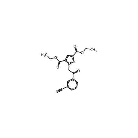 CCOC(=O)c1cc(C(=O)OCC)n(CC(=O)c2cccc(C#N)c2)n1